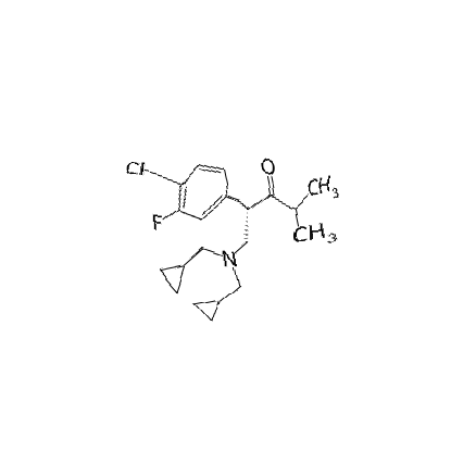 CC(C)C(=O)[C@H](CN(CC1CC1)CC1CC1)c1ccc(Cl)c(F)c1